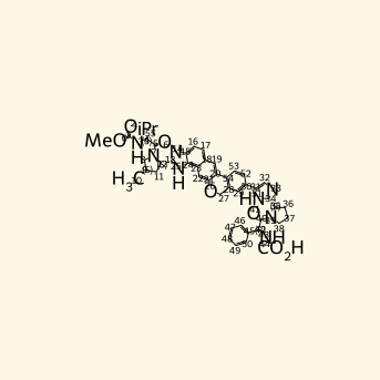 COC(=O)N[C@H](C(=O)N1C[C@@H](C)C[C@H]1c1nc2ccc3cc4c(cc3c2[nH]1)OCc1cc(-c2cnc([C@@H]3CCCN3C(=O)[C@H](NC(=O)O)c3ccccc3)[nH]2)ccc1-4)C(C)C